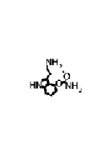 COC(N)=O.NCCc1c[nH]c2ccccc12